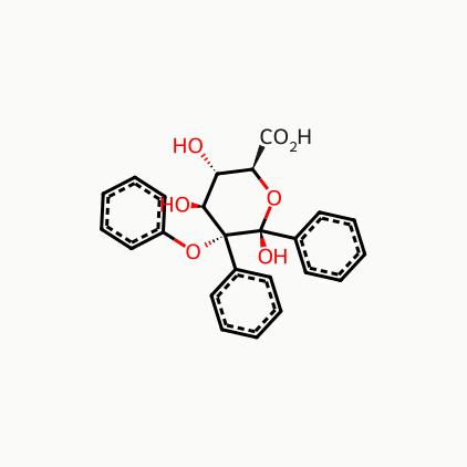 O=C(O)[C@H]1O[C@](O)(c2ccccc2)[C@@](Oc2ccccc2)(c2ccccc2)[C@@H](O)[C@@H]1O